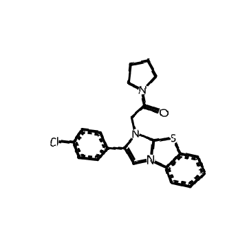 O=C(CN1C(c2ccc(Cl)cc2)=CN2c3ccccc3SC12)N1CCCC1